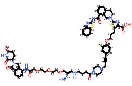 N=N/C(=C\NCCCC(=O)N1CCN(CC#Cc2ccc(OCCCc3sc(N4CCc5cccc(C(=O)Nc6nc7ccccc7s6)c5C4)nc3C(=O)O)c(F)c2)CC1)COCCOCCOCC(=O)Nc1cccc2c1CN(C1CCC(=O)NC1=O)C2=O